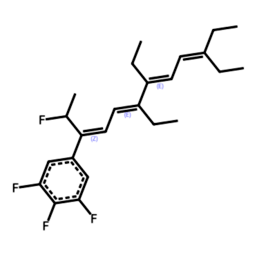 CCC(=C/C=C(CC)/C(=C/C=C(/c1cc(F)c(F)c(F)c1)C(C)F)CC)CC